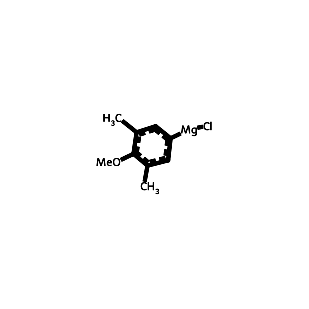 COc1c(C)c[c]([Mg][Cl])cc1C